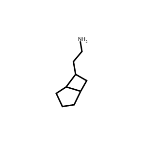 NCCC1CC2CCCC12